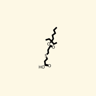 CCCCCC(CC)(CC)OC(=O)CCSCCC(=O)O